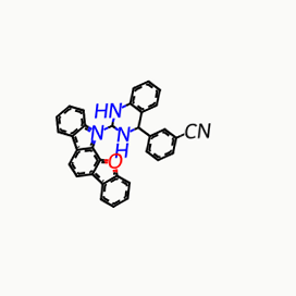 N#Cc1cccc(C2NC(n3c4ccccc4c4ccc5c6ccccc6oc5c43)Nc3ccccc32)c1